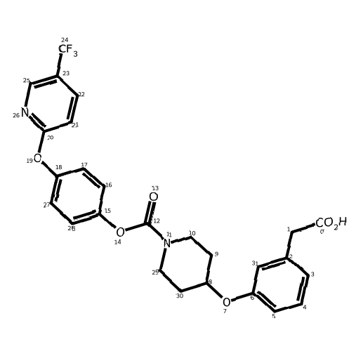 O=C(O)Cc1cccc(OC2CCN(C(=O)Oc3ccc(Oc4ccc(C(F)(F)F)cn4)cc3)CC2)c1